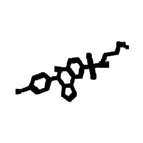 CCCNS(=O)(=O)c1ccc2c(c1)C1C=CCC1C(c1ccc(Br)cc1)N2